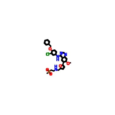 COc1cc2ncnc(Nc3ccc(OCc4ccccc4)c(Cl)c3)c2cc1-c1ccc(CNCCS(C)(=O)=O)o1